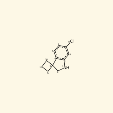 Clc1ccc2c(c1)NCC21CCC1